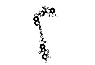 Cc1cccc(C)c1Nc1nn(C)c2nc(Nc3ccc4c(c3)CN(CCOCCOCC(=O)Nc3ccc5c(c3)C(=O)N(C3CCC(=O)NC3=O)C5=O)CC4)ncc12